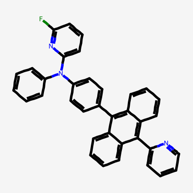 Fc1cccc(N(c2ccccc2)c2ccc(-c3c4ccccc4c(-c4ccccn4)c4ccccc34)cc2)n1